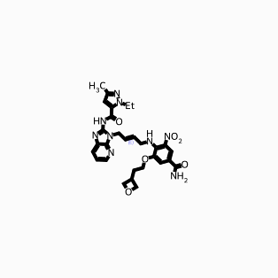 CCn1nc(C)cc1C(=O)Nc1nc2cccnc2n1C/C=C/CNc1c(OCCC2COC2)cc(C(N)=O)cc1[N+](=O)[O-]